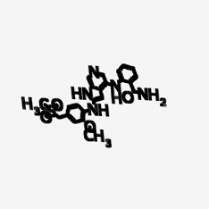 COc1cc(CS(C)(=O)=O)ccc1Nc1cc2c(Nc3ccccc3C(N)=O)cncc2[nH]1